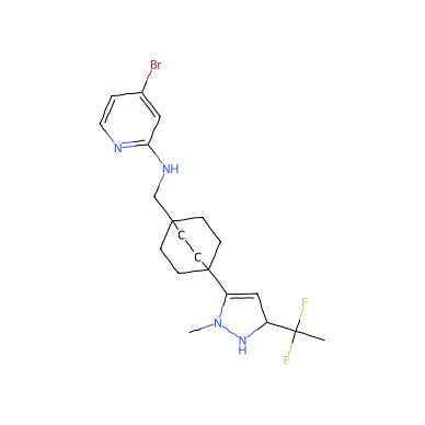 CN1NC(C(C)(F)F)C=C1C12CCC(CNc3cc(Br)ccn3)(CC1)CC2